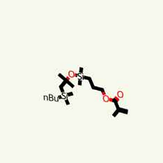 C=C(C)C(=O)OCCC[Si](C)(C)OC(C)(C)C[Si](C)(C)CCCC